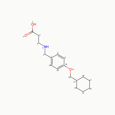 O=C(O)CCNCc1ccc(OCC2CCCCC2)cc1